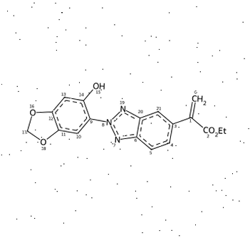 C=C(C(=O)OCC)c1ccc2nn(-c3cc4c(cc3O)OCO4)nc2c1